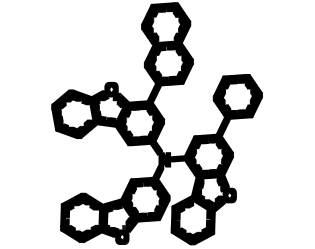 c1ccc(-c2cc(N(c3ccc4oc5ccccc5c4c3)c3cc(-c4ccc5ccccc5c4)c4oc5ccccc5c4c3)c3c(c2)oc2ccccc23)cc1